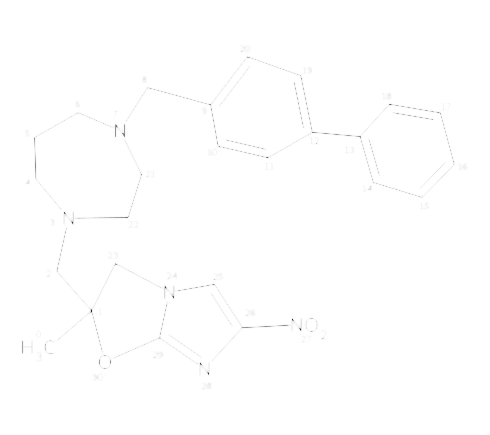 CC1(CN2CCCN(Cc3ccc(-c4ccccc4)cc3)CC2)Cn2cc([N+](=O)[O-])nc2O1